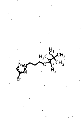 CC(C)(C)[Si](C)(C)OCCCn1ncc(Br)n1